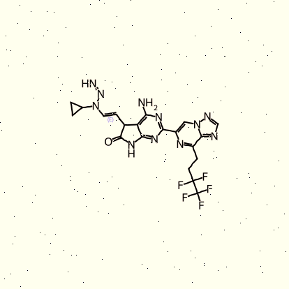 N=NN(/C=C/C1C(=O)Nc2nc(-c3cn4ncnc4c(CCC(F)(F)C(F)(F)F)n3)nc(N)c21)C1CC1